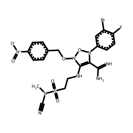 CN(C#N)S(=O)(=O)CCNC1=C(C(=N)N)N(c2ccc(F)c(Br)c2)ON1OCc1ccc([N+](=O)[O-])cc1